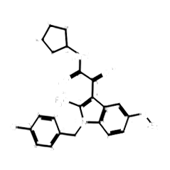 CCOc1ccc2c(c1)c(C(=O)C(=O)NC1CCCC1)c(C(F)(F)F)n2Cc1ccc(Cl)cc1